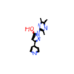 Cc1nc(C)c(-n2nc(-c3ccncc3)cc2O)nc1C